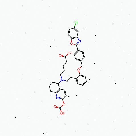 O=C(O)CCCCN(CCc1ccccc1OCc1ccc(-c2nc3cc(Cl)ccc3o2)cc1)C1CCCc2nc(OC(=O)O)ccc21